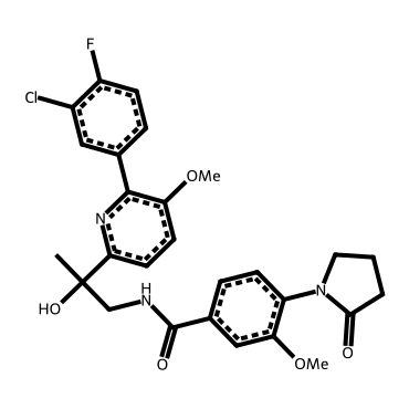 COc1cc(C(=O)NCC(C)(O)c2ccc(OC)c(-c3ccc(F)c(Cl)c3)n2)ccc1N1CCCC1=O